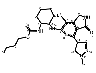 CCCCOC(=O)N[C@H]1CCCC[C@H]1Nc1nc(C2C=NN(C)C2)c2c(c1Br)CNC2=O